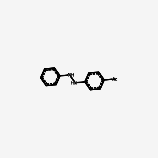 CC(=O)c1ccc(NNc2ccccc2)cc1